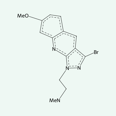 CNCCn1nc(Br)c2cc3ccc(OC)cc3nc21